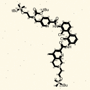 Cc1cc(C(=O)Nc2cccc(-c3cccc(NC(=O)c4ccc(CN(CCO[Si](C)(C)C(C)(C)C)C(=O)OC(C)(C)C)cn4)c3Cl)c2Cl)nc2c1CCN(CCO[Si](C)(C)C(C)(C)C)C2